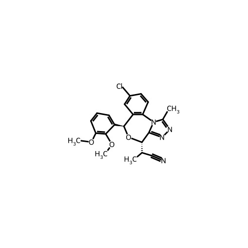 COc1cccc([C@@H]2O[C@@H](C(C)C#N)c3nnc(C)n3-c3ccc(Cl)cc32)c1OC